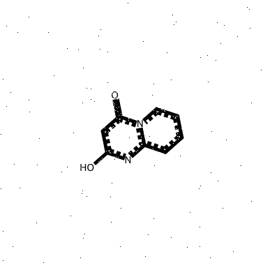 O=c1cc(O)nc2ccccn12